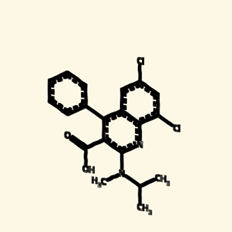 CC(C)N(C)c1nc2c(Cl)cc(Cl)cc2c(-c2ccccc2)c1C(=O)O